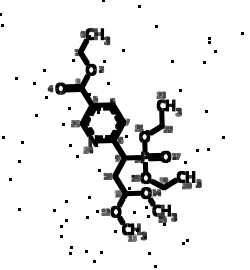 CCOC(=O)c1ccc(C(CC(OC)OC)P(=O)(OCC)OCC)nc1